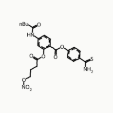 CCCCC(=O)Nc1ccc(C(=O)Oc2ccc(C(N)=S)cc2)c(OC(=O)CCCO[N+](=O)[O-])c1